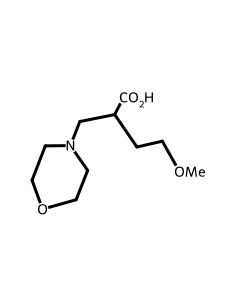 COCCC(CN1CCOCC1)C(=O)O